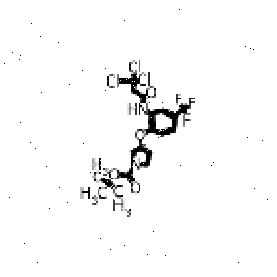 CC(C)(C)OC(=O)N1CC[C@H](Oc2ccc(C(F)(F)F)cc2NC(=O)CC(Cl)(Cl)Cl)C1